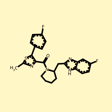 Cc1nc(C(=O)N2CCCCC2Cc2nc3cc(F)ccc3[nH]2)c(-c2ccc(F)cc2)s1